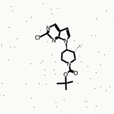 C[C@@H]1CN(C(=O)OC(C)(C)C)CC[C@H]1n1ccc2cnc(Cl)nc21